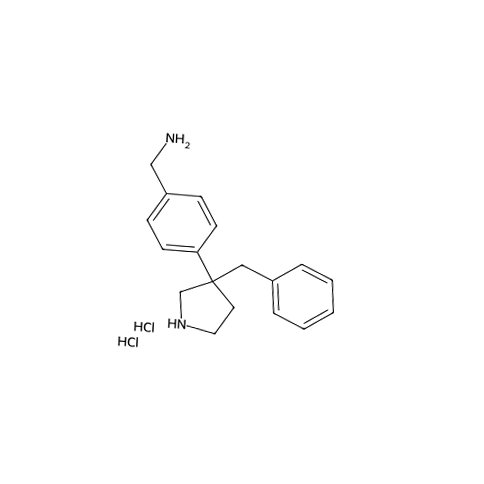 Cl.Cl.NCc1ccc(C2(Cc3ccccc3)CCNC2)cc1